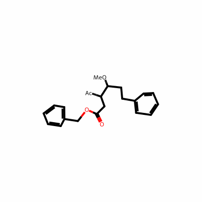 COC(CCc1ccccc1)C(CC(=O)OCc1ccccc1)C(C)=O